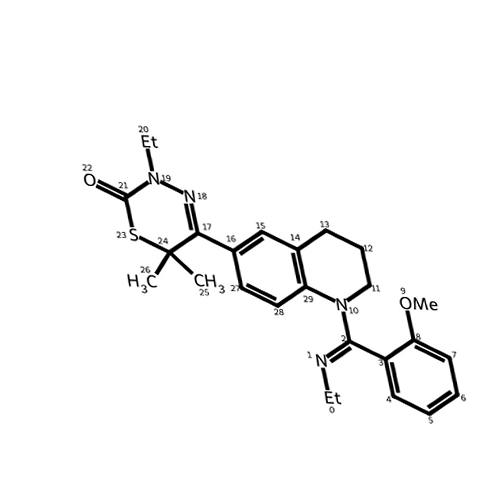 CCN=C(c1ccccc1OC)N1CCCc2cc(C3=NN(CC)C(=O)SC3(C)C)ccc21